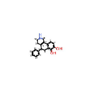 Oc1ccc2c(c1O)CC(c1ccccc1)C1=C2CNCC1